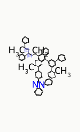 C=C(/C=C(\C=C(/C)c1ccccc1)c1ccccc1)c1c2c(c(-c3cc(C4=CC=CCC4C)cc(-c4ccccc4)c3)c3ccccc13)C=C(c1ccc(-c3nc4ccccc4n3-c3ccccc3)cc1)C(C)C2